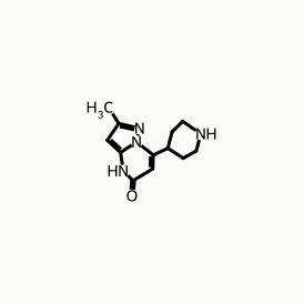 Cc1cc2[nH]c(=O)cc(C3CCNCC3)n2n1